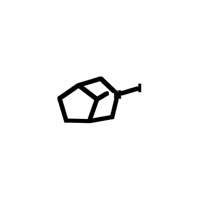 CC1C2CCC1CN(I)C2